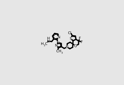 CNCc1cccnc1-n1cc(CN2CCC3(CC2)OCC(F)(F)C2C=C(Cl)SC23)c(C)n1